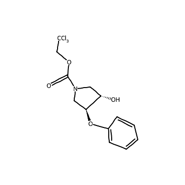 O=C(OCC(Cl)(Cl)Cl)N1C[C@H](Oc2ccccc2)[C@@H](O)C1